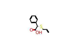 C=CCS[C@H](C(=O)O)c1ccccc1